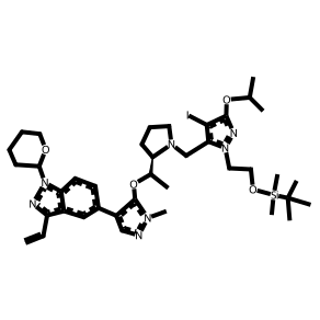 C=Cc1nn(C2CCCCO2)c2ccc(-c3cnn(C)c3OC(C)[C@H]3CCCN3Cc3c(I)c(OC(C)C)nn3CCO[Si](C)(C)C(C)(C)C)cc12